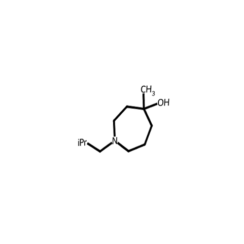 CC(C)CN1CCCC(C)(O)CC1